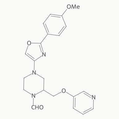 COc1ccc(-c2nc(N3CCN(C=O)C(COc4cccnc4)C3)co2)cc1